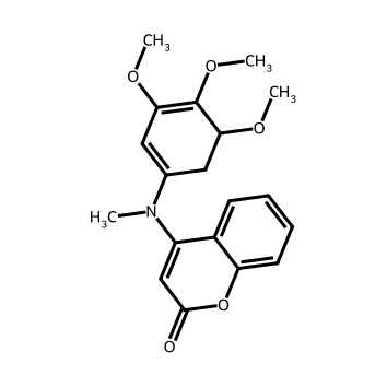 COC1=C(OC)C(OC)CC(N(C)c2cc(=O)oc3ccccc23)=C1